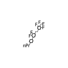 CCCc1ccc(-c2ccc(CCc3cc(F)c(C(F)F)c(F)c3)c(F)c2F)cc1